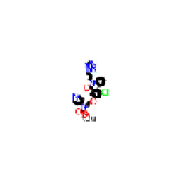 CC(C)(C)OC(=O)N(CCOc1cc(Cl)cc(C(=O)N(CCCn2ncnn2)c2ccccc2F)c1)c1ccncc1